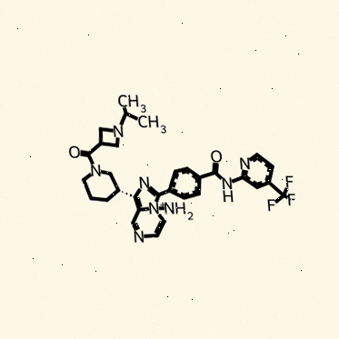 CC(C)N1CC(C(=O)N2CCC[C@@H](C3=C4C=NC=C[N+]4(N)C(c4ccc(C(=O)Nc5cc(C(F)(F)F)ccn5)cc4)=N3)C2)C1